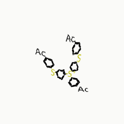 CC(=O)c1ccc(Sc2ccc([S+](c3ccc(Sc4ccc(C(C)=O)cc4)cc3)c3ccc(C(C)=O)cc3)cc2)cc1